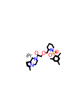 Cc1cc(C)c(S(=O)(=O)N2CCCCC2COCC(=O)N2CCn3c(C)ccc3C2C(C)C)c(C)c1